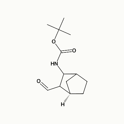 CC(C)(C)OC(=O)NC1C2CC[C@H](C2)C1C=O